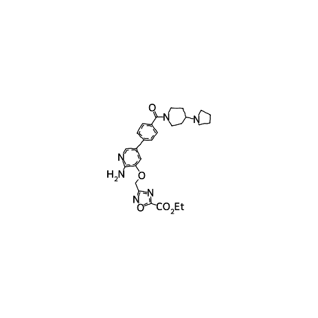 CCOC(=O)c1nc(COc2cc(-c3ccc(C(=O)N4CCC(N5CCCC5)CC4)cc3)cnc2N)no1